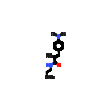 CCN(CC)c1ccc(/C=C(\C#N)C(=O)NCCOC)cc1